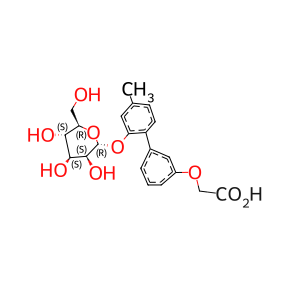 Cc1ccc(-c2cccc(OCC(=O)O)c2)c(O[C@H]2O[C@H](CO)[C@@H](O)[C@H](O)[C@@H]2O)c1